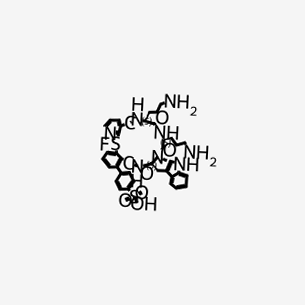 CN1C(=O)[C@H](CCCN)NC(=O)[C@H](CCCN)NCc2cccnc2Sc2c(F)ccc(-c3ccc(S(=O)(=O)O)cc3)c2CNC(=O)[C@@H]1Cc1c[nH]c2ccccc12